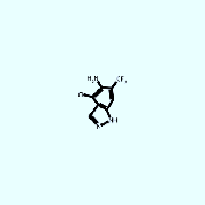 Nc1c(C(F)(F)F)cc2[nH]ncc2c1Cl